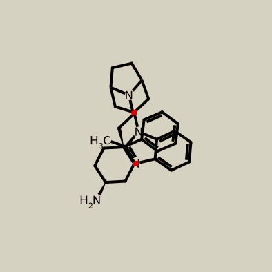 Cc1nc2ccccc2n1C1CC2CCC(C1)N2CC[C@]1(c2ccccc2)CC[C@H](N)CC1